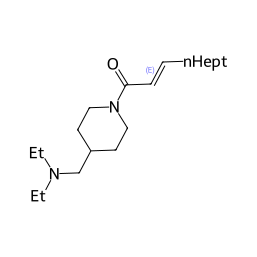 CCCCCCC/C=C/C(=O)N1CCC(CN(CC)CC)CC1